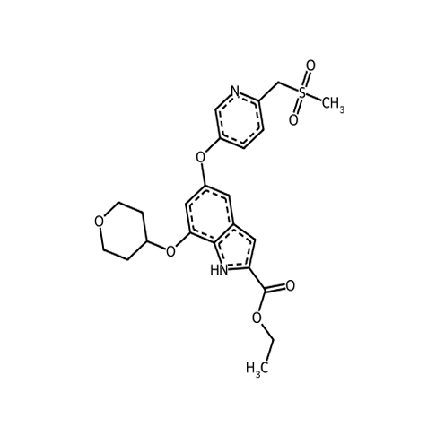 CCOC(=O)c1cc2cc(Oc3ccc(CS(C)(=O)=O)nc3)cc(OC3CCOCC3)c2[nH]1